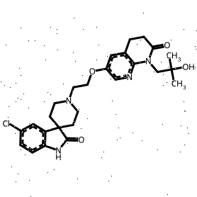 CC(C)(O)CN1C(=O)CCc2cc(OCCN3CCC4(CC3)C(=O)Nc3ccc(Cl)cc34)cnc21